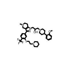 COc1ccccc1C1CCN(CC(O)Cn2nc(-c3ccc(C(F)(F)F)c(SCCN4CCCCC4)c3)c3c2CCN(C)C3)CC1